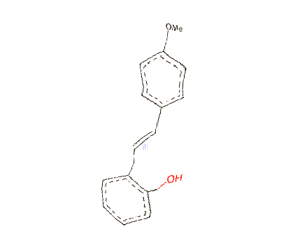 COc1ccc(/C=C/c2ccccc2O)cc1